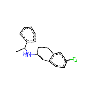 CC(NC1=Cc2ccc(Cl)cc2CC1)c1ccccc1